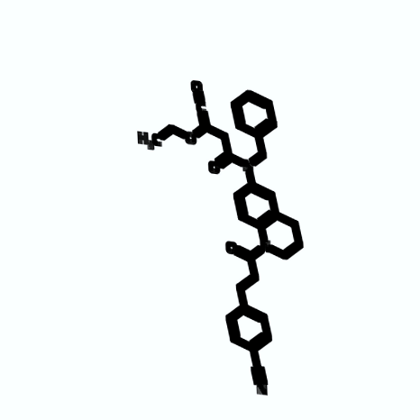 CCOC(=C=O)CC(=O)N(Cc1ccccc1)c1ccc2c(c1)CCCN2C(=O)CCc1ccc(C#N)cc1